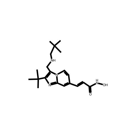 CC(C)(C)CNCc1c(C(C)(C)C)nc2cc(/C=C/C(=O)NO)ccn12